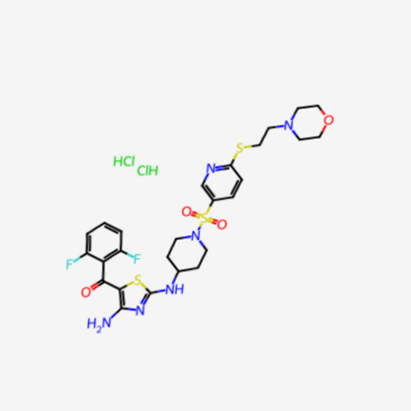 Cl.Cl.Nc1nc(NC2CCN(S(=O)(=O)c3ccc(SCCN4CCOCC4)nc3)CC2)sc1C(=O)c1c(F)cccc1F